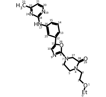 CCOCCN1CCN(c2ncc(-c3cccc(Nc4nccc(C)n4)c3)o2)CC1=O